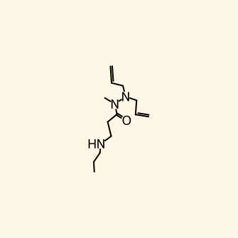 C=CCN(CC=C)N(C)C(=O)CCNCCC